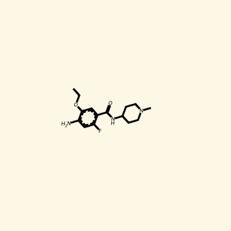 CCOc1cc(C(=O)NC2CCN(C)CC2)c(F)cc1N